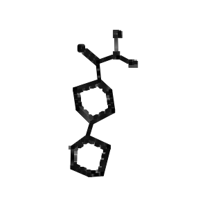 CCN(CC)C(=O)c1ccc(-c2[c]cccc2)cc1